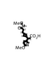 COc1ccc(C(CC(=O)O)C2CC(CCC(=O)N(C)OC)C2)cn1